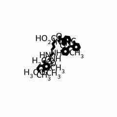 Cc1ccccc1C(c1ccccc1C)n1cccc(C(=O)N[C@@H](CCCNC(=N)NS(=O)(=O)c2c(C)c(C)c3c(c2C)CCC(C)(C)O3)C(=O)O)c1=O